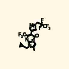 Cc1cn2c(=O)c(-c3cnn(CC(F)(F)C(F)(F)F)c3)c(C(F)(F)F)nc2n1CC1CC1